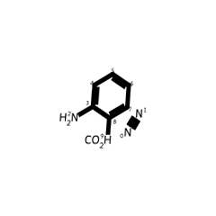 N#N.Nc1ccccc1C(=O)O